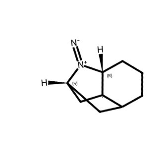 [N-]=[N+]1[C@H]2C[C]3C(CCC[C@H]31)C2